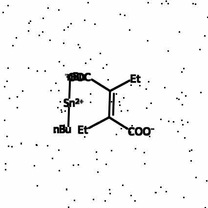 CCC(C(=O)[O-])=C(CC)C(=O)[O-].CCC[CH2][Sn+2][CH2]CCC